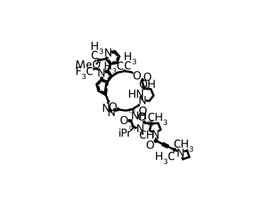 CO[C@@H](C)c1ncccc1-c1c2c3cc(ccc3n1CC(F)(F)F)-c1nnc(o1)C[C@H](NC(=O)[C@H](C(C)C)N(C)C(=O)[C@]1(C)CCN(C(=O)C#CC(C)(C)N3CCC3)C1)C(=O)N1CCC[C@@](O)(N1)C(=O)OCC(C)(C)C2